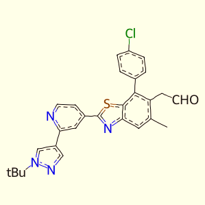 Cc1cc2nc(-c3ccnc(-c4cnn(C(C)(C)C)c4)c3)sc2c(-c2ccc(Cl)cc2)c1CC=O